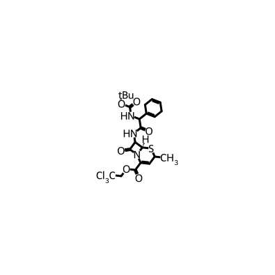 CC1C=C(C(=O)OCC(Cl)(Cl)Cl)N2C(=O)C(NC(=O)C(NC(=O)OC(C)(C)C)C3=CCC=CC3)[C@H]2S1